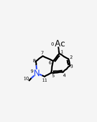 CC(=O)c1cccc2c1CCN(C)C2